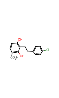 O=C(O)c1ccc(O)c(CCc2ccc(Cl)cc2)c1O